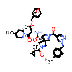 C[C@@H](OCC12CCC(CC1)OC2)[C@H](NC(=O)[C@@H]1CN(C(=O)c2cnn(Cc3ccc(C(F)(F)F)cc3)c2)CC12CN(C(=O)C1(C(F)(F)F)CC1)C2)C(=O)N1CCC(C#N)CC1